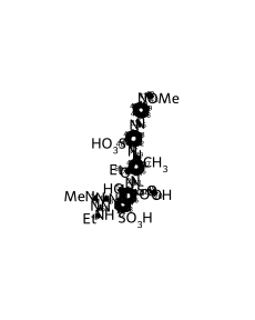 CCNc1nc(NC)nc(Nc2cc(S(=O)(=O)O)cc3cc(SOOO)c(N=Nc4cc(C)c(N=Nc5ccc(N=Nc6ccc(/N=C\OC)cc6)cc5S(=O)(=O)O)cc4OCC)c(O)c23)n1